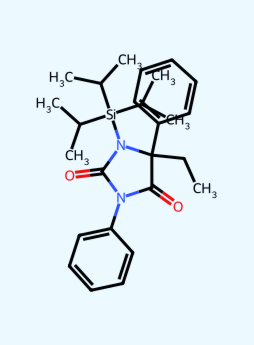 CCC1(c2ccccc2)C(=O)N(c2ccccc2)C(=O)N1[Si](C(C)C)(C(C)C)C(C)C